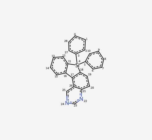 c1ccc([Si]2(c3ccccc3)c3ccccc3-c3c2ccc2ncncc32)cc1